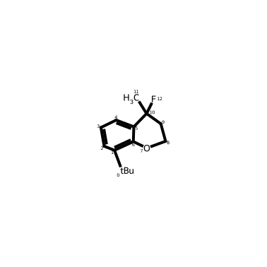 CC(C)(C)c1cccc2c1OCCC2(C)F